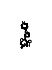 C=C1COC(C2=CN(c3ccncc3)CC2)C(=O)N1